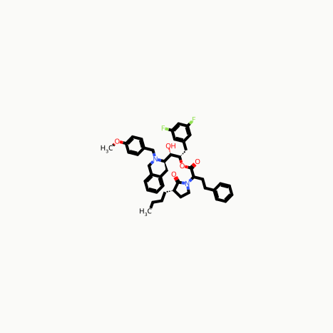 CCCC[C@H]1CCN(C(CCc2ccccc2)C(=O)O[C@@H](Cc2cc(F)cc(F)c2)[C@@H](O)[C@H]2Cc3ccccc3CN2Cc2ccc(OC)cc2)C1=O